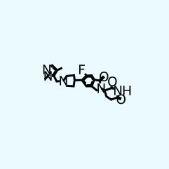 Cc1cnn(C)c1CN1CCC(c2cc3c(cc2F)C(=O)N(C2CCC(=O)NC2=O)C3)CC1